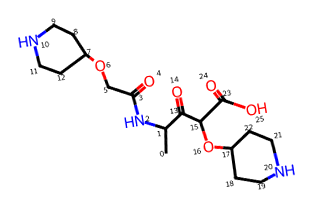 CC(NC(=O)COC1CCNCC1)C(=O)C(OC1CCNCC1)C(=O)O